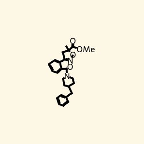 COC(=O)C1(C)CC(c2ccccc2C(=O)N2CCC(Cc3ccccc3)CC2)=NO1